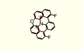 Fc1cccc(F)c1-c1cccc(-c2c(F)cccc2F)c1N1c2ccccc2Oc2ccccc21